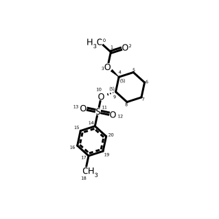 CC(=O)O[C@H]1CCCC[C@@H]1OS(=O)(=O)c1ccc(C)cc1